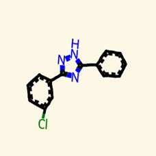 Clc1cccc(-c2n[nH]c(-c3ccccc3)n2)c1